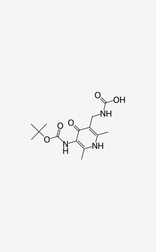 Cc1[nH]c(C)c(NC(=O)OC(C)(C)C)c(=O)c1CNC(=O)O